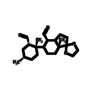 C[C@H]1CC[C@](C)(C2CC[C@@]3(C)C(CCC34OCCO4)[C@@H]2C=O)[C@@H](C=O)C1